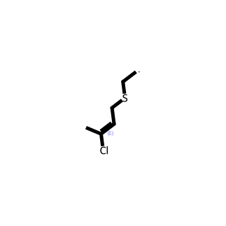 [CH2]CSC/C=C(\C)Cl